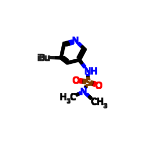 CCC(C)c1cncc(NS(=O)(=O)N(C)C)c1